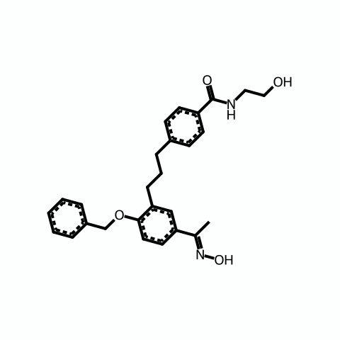 C/C(=N\O)c1ccc(OCc2ccccc2)c(CCCc2ccc(C(=O)NCCO)cc2)c1